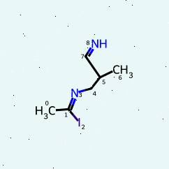 C/C(I)=N/CC(C)C=N